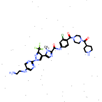 Cn1c(-c2cn(-c3ncc(NCCN)cn3)nc2C(F)(F)F)cnc1C(=O)Nc1ccc(C(=O)N2CCN(C(=O)C3CCNCC3)CC2)c(Cl)c1